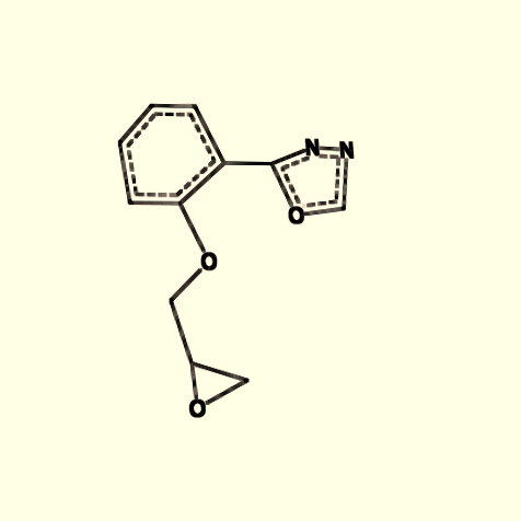 c1ccc(-c2nnco2)c(OCC2CO2)c1